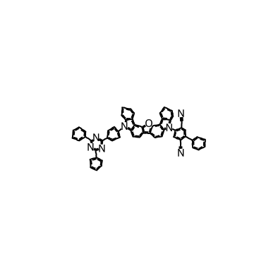 N#Cc1cc(-n2c3ccccc3c3c4oc5c(ccc6c5c5ccccc5n6-c5ccc(-c6nc(-c7ccccc7)nc(-c7ccccc7)n6)cc5)c4ccc32)c(C#N)cc1-c1ccccc1